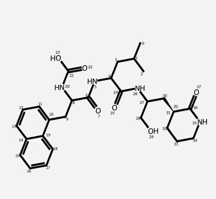 CC(C)CC(NC(=O)C(Cc1cccc2ccccc12)NC(=O)O)C(=O)NC(CO)C[C@@H]1CCCNC1=O